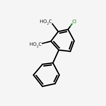 O=C(O)c1c(Cl)ccc(-c2ccccc2)c1C(=O)O